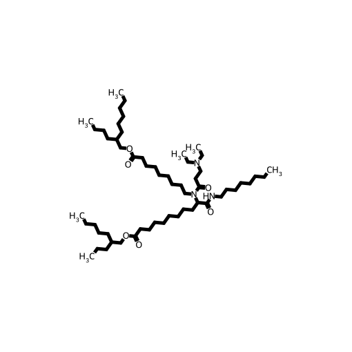 CCCCCCCCNC(=O)C(CCCCCCCCC(=O)OCC(CCC)CCCCC)N(CCCCCCCCC(=O)OCC(CCCC)CCCCCC)C(=O)CCN(CC)CC